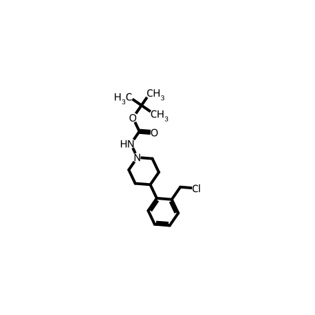 CC(C)(C)OC(=O)NN1CCC(c2ccccc2CCl)CC1